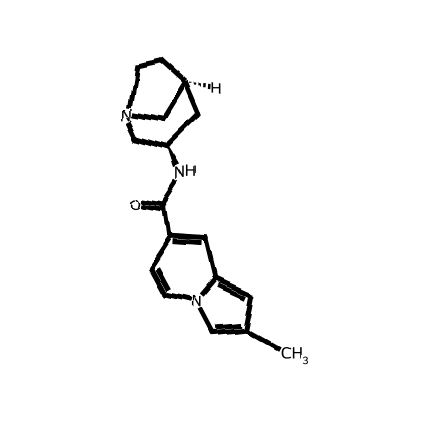 Cc1cc2cc(C(=O)N[C@@H]3C[C@@H]4CCN(C4)C3)ccn2c1